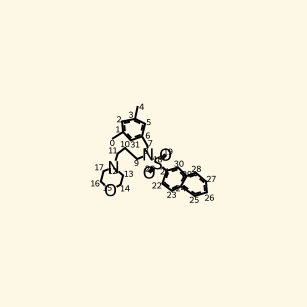 Cc1cc(C)cc(CN(CCCN2CCOCC2)S(=O)(=O)c2ccc3ccccc3c2)c1